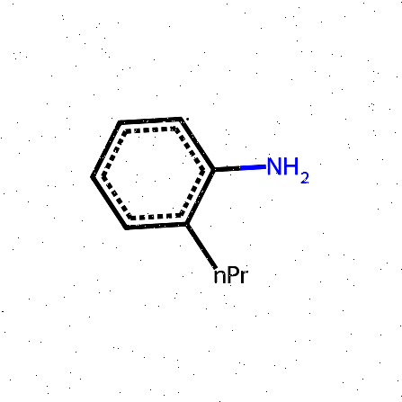 CCCc1ccc[c]c1N